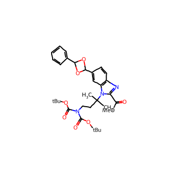 COC(=O)c1nc2ccc(C3OC(c4ccccc4)O3)cc2n1C(C)(C)CCN(C(=O)OC(C)(C)C)C(=O)OC(C)(C)C